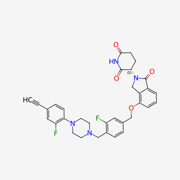 C#Cc1ccc(N2CCN(Cc3ccc(COc4cccc5c4CN([C@H]4CCC(=O)NC4=O)C5=O)cc3F)CC2)c(F)c1